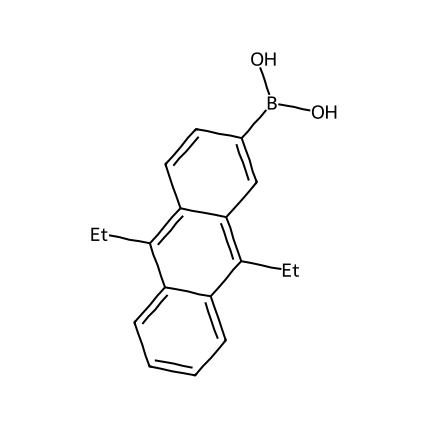 CCc1c2ccccc2c(CC)c2cc(B(O)O)ccc12